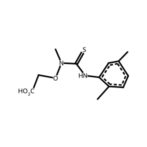 Cc1ccc(C)c(NC(=S)N(C)OCC(=O)O)c1